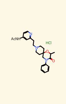 CC(=O)Nc1ccnc(CCN2CCC3(CC2)CN(c2ccccc2)C(=O)C(C)O3)c1.Cl